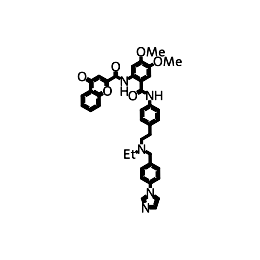 CCN(CCc1ccc(NC(=O)c2cc(OC)c(OC)cc2NC(=O)c2cc(=O)c3ccccc3o2)cc1)Cc1ccc(-n2ccnc2)cc1